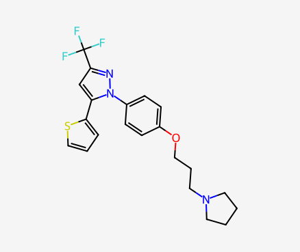 FC(F)(F)c1cc(-c2cccs2)n(-c2ccc(OCCCN3CCCC3)cc2)n1